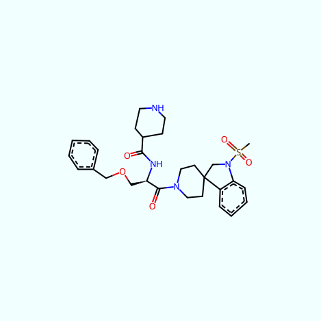 CS(=O)(=O)N1CC2(CCN(C(=O)[C@@H](COCc3ccccc3)NC(=O)C3CCNCC3)CC2)c2ccccc21